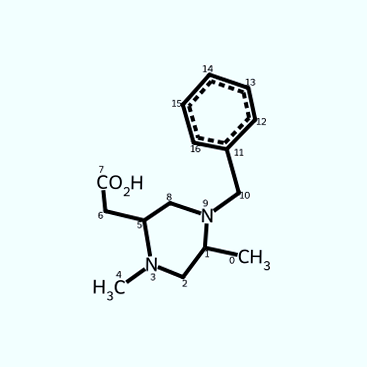 CC1CN(C)C(CC(=O)O)CN1Cc1ccccc1